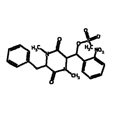 CN1C(=O)C(C(OS(C)(=O)=O)c2ccccc2[N+](=O)[O-])N(C)C(=O)C1Cc1ccccc1